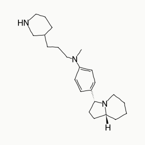 CN(CCCC1CCCNC1)c1ccc([C@H]2CC[C@H]3CCCCN32)cc1